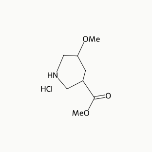 COC(=O)C1CNCC(OC)C1.Cl